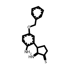 N=C1C(=S)CCC1c1cc(OCc2ccccc2)ccc1N